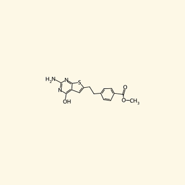 COC(=O)c1ccc(CCc2cc3c(O)nc(N)nc3s2)cc1